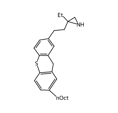 CCCCCCCCc1ccc2c(c1)Cc1cc(CCC3(CC)CN3)ccc1S2